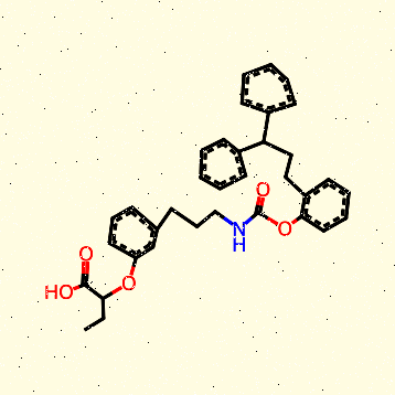 CCC(Oc1cccc(CCCNC(=O)Oc2ccccc2CCC(c2ccccc2)c2ccccc2)c1)C(=O)O